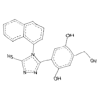 OCc1cc(O)c(-c2nnc(S)n2-c2cccc3ccccc23)cc1O